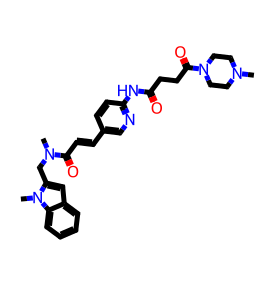 CN1CCN(C(=O)CCC(=O)Nc2ccc(C=CC(=O)N(C)Cc3cc4ccccc4n3C)cn2)CC1